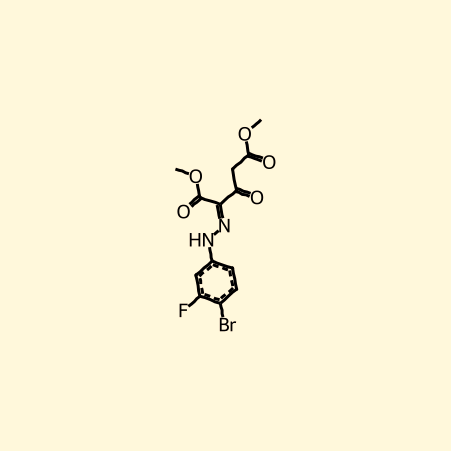 COC(=O)CC(=O)C(=NNc1ccc(Br)c(F)c1)C(=O)OC